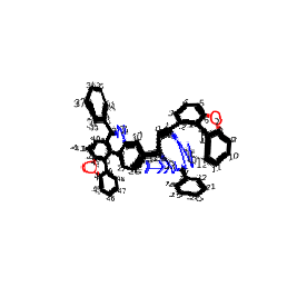 C1=C(c2cccc3oc4ccccc4c23)N=C(c2ccccc2)NC1c1ccc2c(c1)nc(-c1ccccc1)c1ccc3oc4ccccc4c3c12